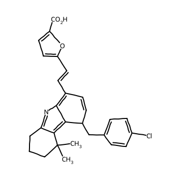 CC1(C)CCCC2=NC3=C(C=Cc4ccc(C(=O)O)o4)C=CC(Cc4ccc(Cl)cc4)C3=C21